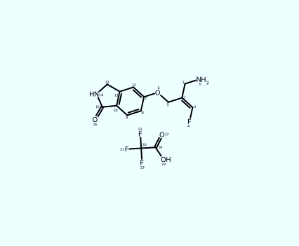 NC/C(=C/F)COc1ccc2c(c1)CNC2=O.O=C(O)C(F)(F)F